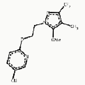 COc1c(C)c(C(F)(F)F)nn1CCOc1ccc(C#N)cn1